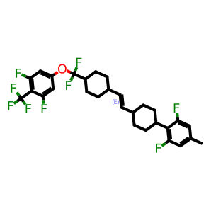 Cc1cc(F)c(C2CCC(/C=C/C3CCC(C(F)(F)Oc4cc(F)c(C(F)(F)F)c(F)c4)CC3)CC2)c(F)c1